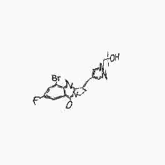 CC(C)(O)Cn1cc(C=C2CCn3c2nc2c(Br)cc(F)cc2c3=O)cn1